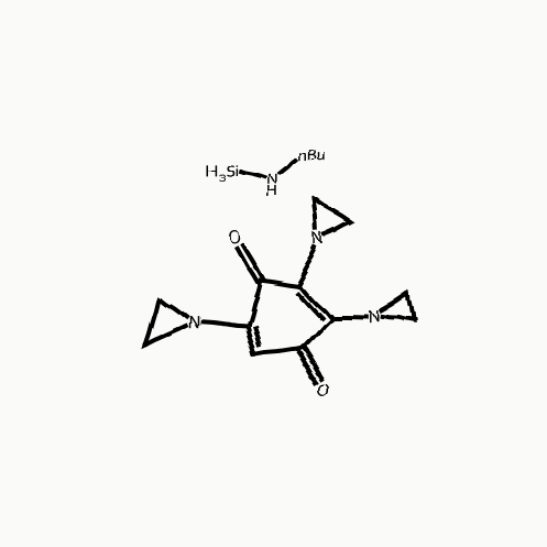 CCCCN[SiH3].O=C1C=C(N2CC2)C(=O)C(N2CC2)=C1N1CC1